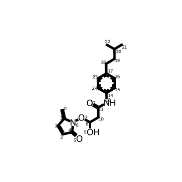 C=C1C=CC(=O)N1OC(O)CC(=O)Nc1ccc(CCC(C)C)cc1